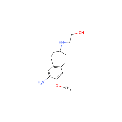 COc1cc2c(cc1N)CCC(NCCO)CC2